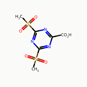 CS(=O)(=O)c1nc(C(=O)O)nc(S(C)(=O)=O)n1